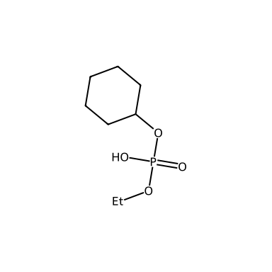 CCOP(=O)(O)OC1CCCCC1